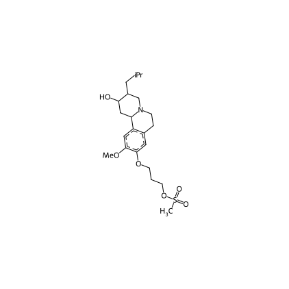 COc1cc2c(cc1OCCCOS(C)(=O)=O)CCN1CC(CC(C)C)C(O)CC21